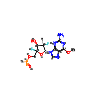 CCOc1nc(N)nc2c1ncn2[C@@H]1O[C@](F)(CO[PH](C)=O)[C@@H](O)[C@@]1(C)F